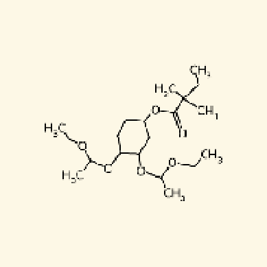 CCOC(C)OC1CCC(OC(=O)C(C)(C)CC)CC1OC(C)OCC